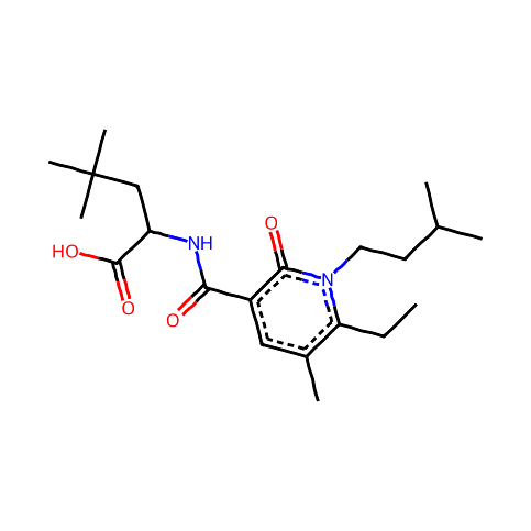 CCc1c(C)cc(C(=O)NC(CC(C)(C)C)C(=O)O)c(=O)n1CCC(C)C